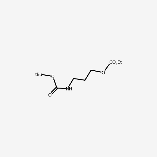 CCOC(=O)OCCCNC(=O)OC(C)(C)C